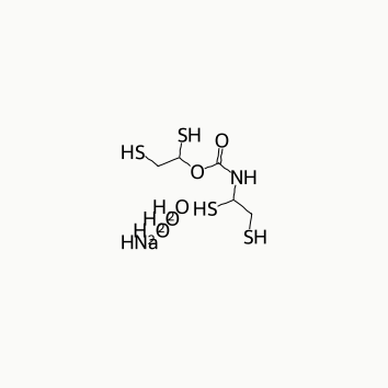 O.O.O.O=C(NC(S)CS)OC(S)CS.[NaH]